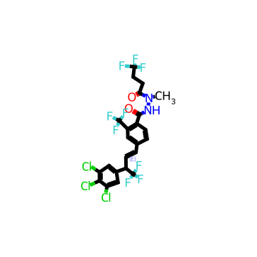 CN(NC(=O)c1ccc(/C=C/C(c2cc(Cl)c(Cl)c(Cl)c2)C(F)(F)F)cc1C(F)(F)F)C(=O)CCC(F)(F)F